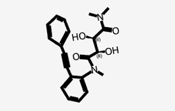 CN(C)C(=O)[C@H](O)[C@@H](O)C(=O)N(C)c1ccccc1C#Cc1ccccc1